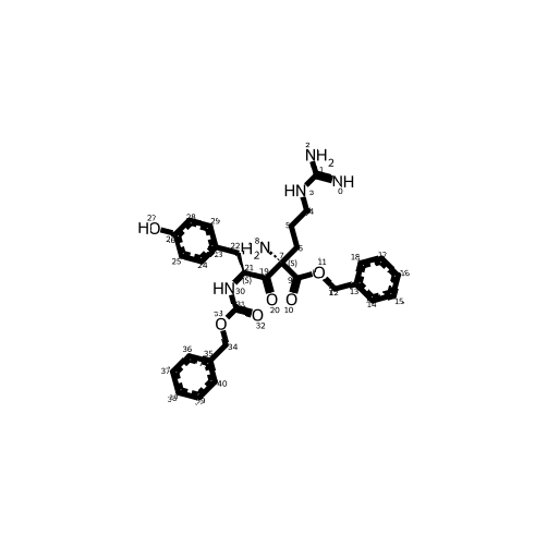 N=C(N)NCCC[C@@](N)(C(=O)OCc1ccccc1)C(=O)[C@H](Cc1ccc(O)cc1)NC(=O)OCc1ccccc1